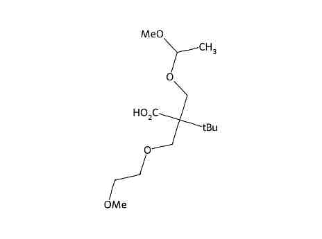 COCCOCC(COC(C)OC)(C(=O)O)C(C)(C)C